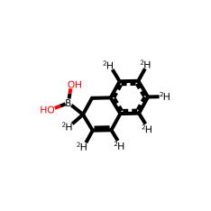 [2H]C1=C([2H])C([2H])(B(O)O)Cc2c([2H])c([2H])c([2H])c([2H])c21